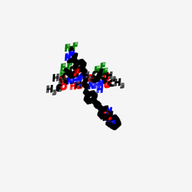 COC(=O)N[C@H](C(=O)N[C@@H](Cc1ccc(C#Cc2ccc(N3CC4CCC(C3)N4C3COC3)nc2)cc1)[C@@H](O)CN(Cc1ccc(-c2cnn(C(F)F)c2)cc1F)NC(=O)[C@@H](NC(=O)OC)C(C)(C)C(F)(F)F)C(C)(C)C(F)(F)F